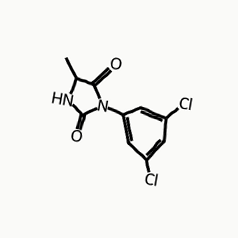 CC1NC(=O)N(c2cc(Cl)cc(Cl)c2)C1=O